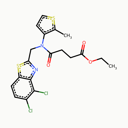 CCOC(=O)CCC(=O)N(Cc1nc2c(Cl)c(Cl)ccc2s1)c1ccsc1C